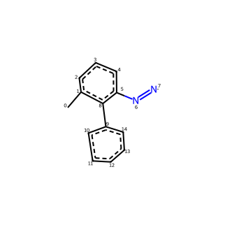 Cc1cccc(N=[N])c1-c1ccccc1